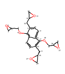 c1cc2c(OCC3CO3)c(CC3CO3)ccc2c(OCC2CO2)c1CC1CO1